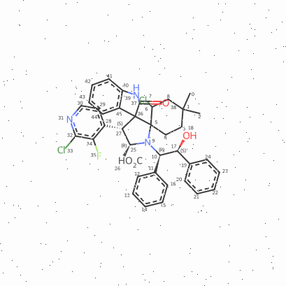 CC1(C)CCC2(C(Cl)C1)N([C@H](c1ccccc1)[C@@H](O)c1ccccc1)[C@@H](C(=O)O)[C@H](c1ccnc(Cl)c1F)C21C(=O)Nc2ccccc21